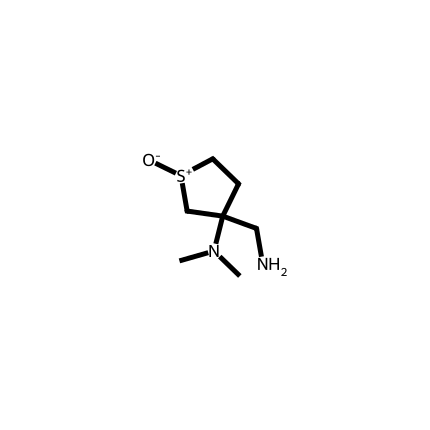 CN(C)C1(CN)CC[S+]([O-])C1